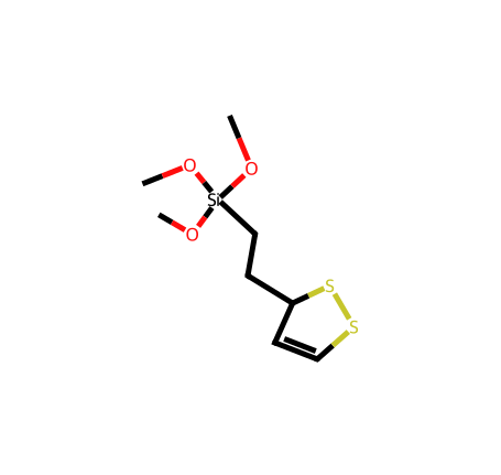 CO[Si](CCC1C=CSS1)(OC)OC